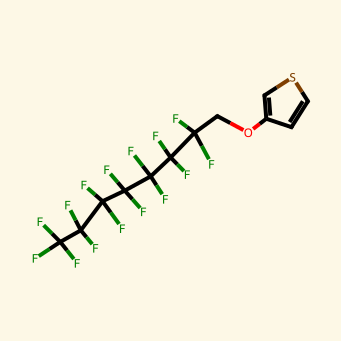 FC(F)(F)C(F)(F)C(F)(F)C(F)(F)C(F)(F)C(F)(F)C(F)(F)COc1ccsc1